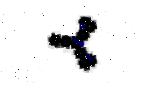 c1ccc(-c2ccc(-c3cc(-c4ccc(-c5cccc6cccnc56)cc4)nc(-c4ccc(-c5cccc6cccnc56)cc4)n3)cc2)cc1